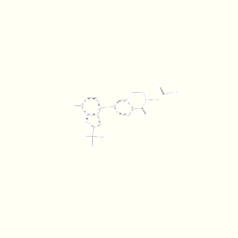 COc1ccc(-c2ccc3c(c2)CCN(CC(=O)O)C3=O)c2cc(C(F)(F)F)nn12